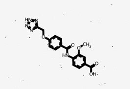 COc1cc(C(=O)O)ccc1NC(=O)c1ccc(OCc2nn[nH]n2)cc1